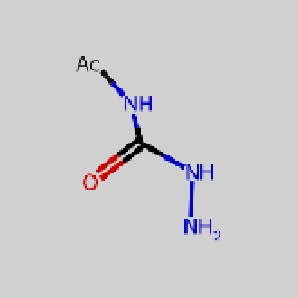 CC(=O)NC(=O)NN